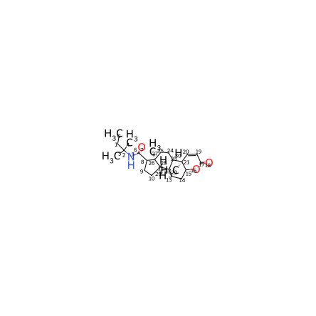 CCC(C)(C)NC(=O)C1CC[C@H]2[C@@H]3CCC4OC(=O)C=C[C@]4(C)[C@@H]3CC[C@]12C